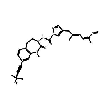 C=N/C(F)=C\C=C(/C)Cc1cnn(C(=O)N[C@@H]2CCc3ccc(C#CC(C)(C)O)cc3N(C)C2=O)c1